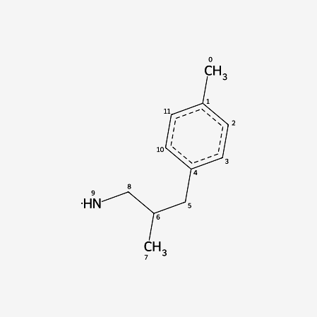 Cc1ccc(CC(C)C[NH])cc1